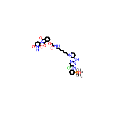 CP(C)(=O)c1ccccc1Nc1nc(N[C@@H]2CCCN(CCCCCCCNC(=O)COc3cccc4c3C(=O)N(C3CCC(=O)NC3=O)C4=O)C2)ncc1Cl